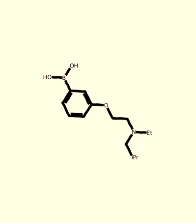 CCN(CCOc1cccc(B(O)O)c1)CC(C)C